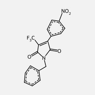 O=C1C(c2ccc([N+](=O)[O-])cc2)=C(C(F)(F)F)C(=O)N1Cc1ccccc1